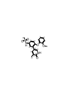 COc1ccccc1Oc1ccc(NS(C)(=O)=O)cc1-c1c[nH]c(=O)c(C)c1